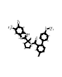 Cc1ccc(-c2ccc(OC(F)(F)F)cc2)c(C(=O)N2CCCC2(C)c2nc3cc(C(F)(F)F)c(Cl)cc3[nH]2)c1